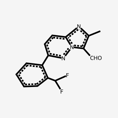 Cc1nc2ccc(-c3ccccc3C(F)F)nn2c1C=O